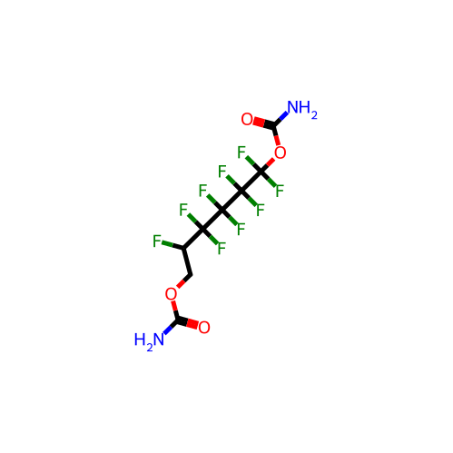 NC(=O)OCC(F)C(F)(F)C(F)(F)C(F)(F)C(F)(F)OC(N)=O